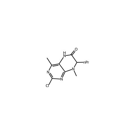 CCCC1C(=O)Nc2c(C)nc(Cl)nc2N1C